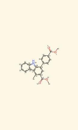 COC(=O)c1ccc(-c2cc(C(=O)OC)c(C)c3c2[nH]c2ccccc23)cc1